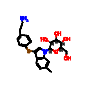 Cc1ccc2c(Sc3ccc(CCN)cc3)cn([C@@H]3O[C@H](CO)[C@@H](O)[C@H](O)[C@H]3O)c2c1